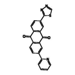 O=C1c2ccc(-c3ccccn3)cc2C(=O)c2cc(-c3nncs3)ccc21